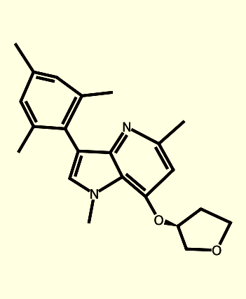 Cc1cc(C)c(-c2cn(C)c3c(O[C@H]4CCOC4)cc(C)nc23)c(C)c1